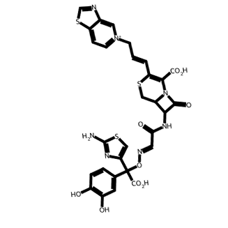 Nc1nc(C(ON=CC(=O)NC2C(=O)N3C(C(=O)O)=C(C=CC[n+]4ccc5scnc5c4)SCC23)(C(=O)O)c2ccc(O)c(O)c2)cs1